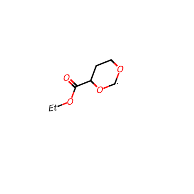 CCOC(=O)C1CCO[CH]O1